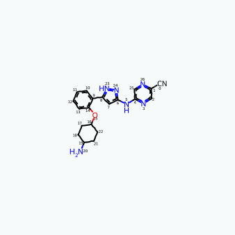 N#Cc1cnc(Nc2cc(-c3ccccc3OC3CCC(N)CC3)[nH]n2)cn1